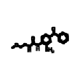 COCCNC(=O)Nc1ccc(C(=O)c2ccccc2)cc1N